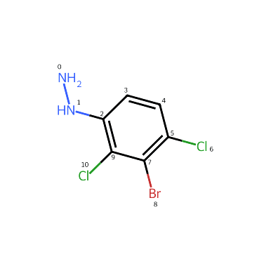 NNc1ccc(Cl)c(Br)c1Cl